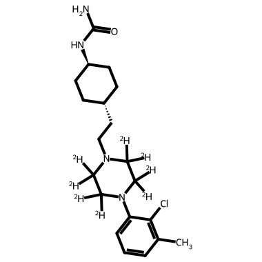 [2H]C1([2H])N(CC[C@H]2CC[C@H](NC(N)=O)CC2)C([2H])([2H])C([2H])([2H])N(c2cccc(C)c2Cl)C1([2H])[2H]